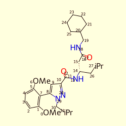 COc1cccc(OC)c1-c1cc(C(=O)N[C@H](CC(=O)NCC2CCCCC2)CC(C)C)nn1CC(C)C